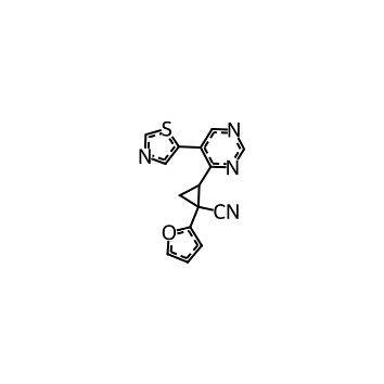 N#CC1(c2ccco2)CC1c1ncncc1-c1cncs1